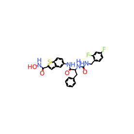 O=C(NCc1ccc(F)cc1F)NC(Cc1ccccc1)C(=O)Nc1ccc2sc(C(=O)NO)cc2c1